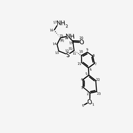 COc1ccc(-c2cccc([C@@H]3SCC[C@H](CN)NC3=O)c2)cc1